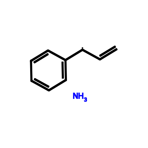 C=C[CH]c1ccccc1.N